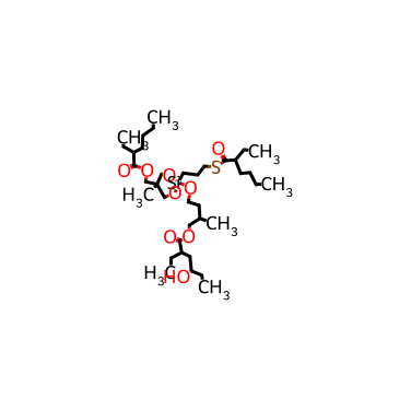 CCCCC(CC)C(=O)OCC1(C)CO[Si](CCCSC(=O)C(CC)CCCC)(OCCC(C)COC(=O)C(CC)CC(O)CC)OC1